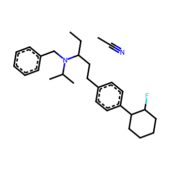 CC#N.CCC(CCc1ccc(C2CCCCC2F)cc1)N(Cc1ccccc1)C(C)C